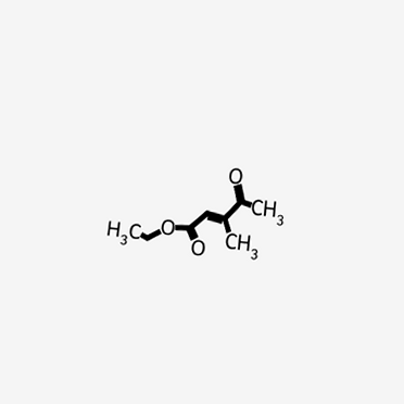 CCOC(=O)/C=C(\C)C(C)=O